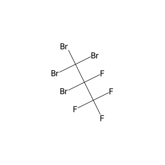 FC(F)(F)C(F)(Br)C(Br)(Br)Br